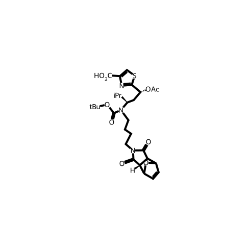 CC(=O)O[C@H](C[C@H](C(C)C)N(CCCCN1C(=O)C2C3C=CC(O3)[C@@H]2C1=O)C(=O)OC(C)(C)C)c1nc(C(=O)O)cs1